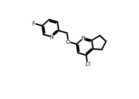 Fc1ccc(COc2cc(Cl)c3c(n2)CCC3)nc1